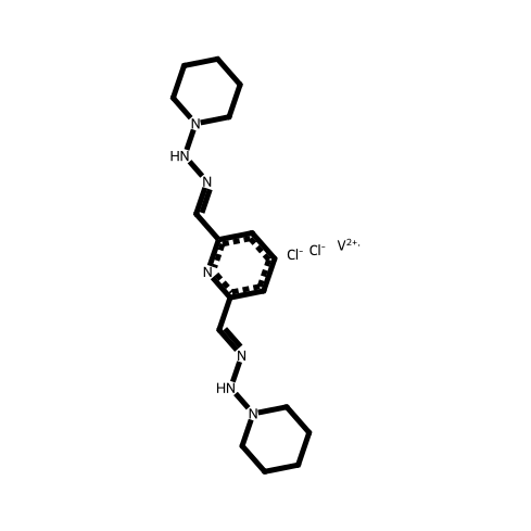 C(=NNN1CCCCC1)c1cccc(C=NNN2CCCCC2)n1.[Cl-].[Cl-].[V+2]